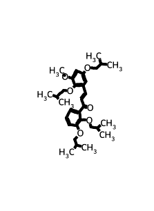 COc1cc(OCC(C)C)cc(C=CC(=O)c2cccc(OCC(C)C)c2OCC(C)C)c1OCC(C)C